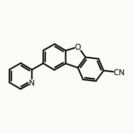 N#Cc1ccc2c(c1)oc1ccc(-c3ccccn3)cc12